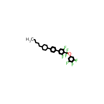 CCCCCC1CCC(c2ccc(-c3cc(F)c(C(F)(F)Oc4cc(F)c(F)c(F)c4)c(F)c3)cc2)CC1